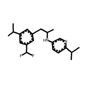 CC(Cc1cc(C(C)C)cc(C(F)F)c1)Nc1ccc(C(C)C)nc1